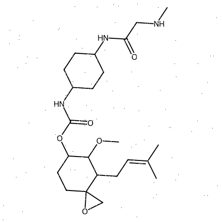 CNCC(=O)NC1CCC(NC(=O)OC2CCC3(CO3)C(CC=C(C)C)C2OC)CC1